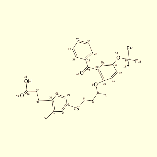 Cc1cc(SCCC(C)Oc2ccc(OC(F)(F)F)cc2C(=O)c2ccccc2)ccc1CCC(=O)O